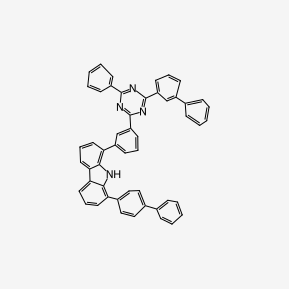 c1ccc(-c2ccc(-c3cccc4c3[nH]c3c(-c5cccc(-c6nc(-c7ccccc7)nc(-c7cccc(-c8ccccc8)c7)n6)c5)cccc34)cc2)cc1